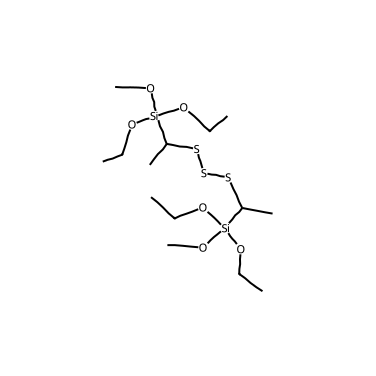 CCO[Si](OC)(OCC)C(C)SSSC(C)[Si](OC)(OCC)OCC